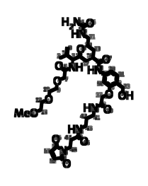 C=C(C)[C@H](NC(=O)COCCOCCOC)C(=O)C[C@@H](CCCNC(N)=O)C(=O)Nc1ccc(CO)c(OCC(=O)NCCCNC(=O)CCN2C(=O)C=CC2=O)c1